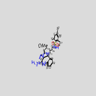 COCCc1nc2c(N)nc3ccccc3c2n1CCCCNS(=O)(=O)c1c(C)cc(C)cc1C